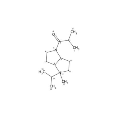 CC(C)C(=O)N1CCC2C1CC[N+]2(C)C(C)C